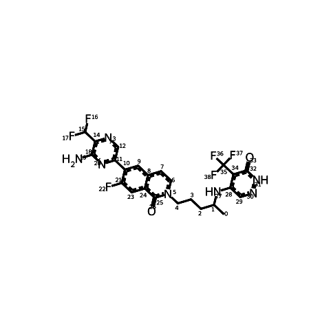 CC(CCCn1ccc2cc(-c3cnc(C(F)F)c(N)n3)c(F)cc2c1=O)Nc1cn[nH]c(=O)c1C(F)(F)F